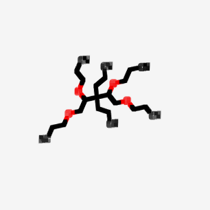 N#CCCOCC(OCCC#N)C(CCC#N)(CCC#N)C(COCCC#N)OCCC#N